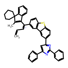 C=C/C=C(\C1=C(C)C2(CCCCC2)c2ccccc21)c1ccc2sc3ccc(-c4cc(-c5ccccc5)nc(-c5ccccc5)n4)cc3c2c1